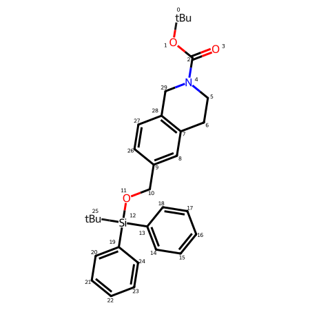 CC(C)(C)OC(=O)N1CCc2cc(CO[Si](c3ccccc3)(c3ccccc3)C(C)(C)C)ccc2C1